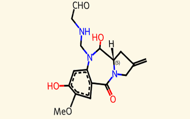 C=C1C[C@H]2C(O)N(CNCC=O)c3cc(O)c(OC)cc3C(=O)N2C1